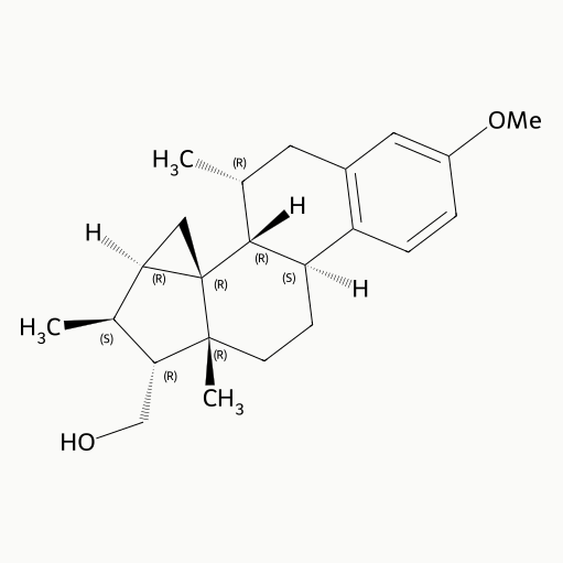 COc1ccc2c(c1)C[C@@H](C)[C@@H]1[C@@H]2CC[C@]2(C)[C@H](CO)[C@@H](C)[C@H]3C[C@]132